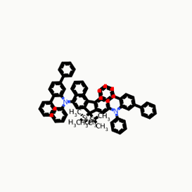 C[Si](C)(C)C1([Si](C)(C)C)c2cc(N(c3ccccc3)c3cc(-c4ccccc4)ccc3-c3ccccc3)c3ccccc3c2-c2c1cc(N(c1ccccc1)c1cc(-c3ccccc3)ccc1-c1ccccc1)c1ccccc21